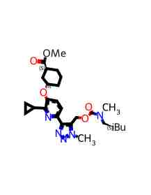 CC[C@H](C)CN(C)C(=O)OCc1c(-c2ccc(O[C@H]3CCC[C@H](C(=O)OC)C3)c(C3CC3)n2)nnn1C